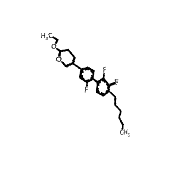 CCCCCCc1ccc(-c2ccc(C3CCC(OCC)OC3)cc2F)c(F)c1F